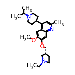 CCN1CC[C@@H](COc2cc3nc(C)cc(C4CCN(C(C)C)CC4)c3cc2OC)C1